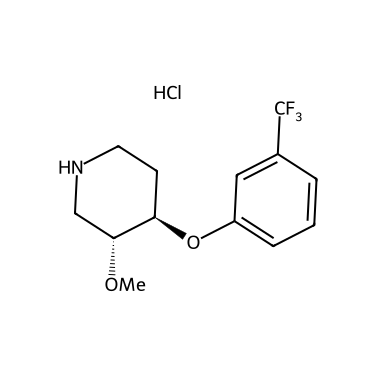 CO[C@@H]1CNCC[C@H]1Oc1cccc(C(F)(F)F)c1.Cl